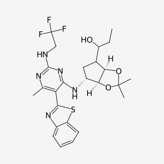 CCC(O)C1C[C@@H](Nc2nc(NCC(F)(F)F)nc(C)c2-c2nc3ccccc3s2)[C@@H]2OC(C)(C)O[C@H]12